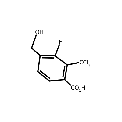 O=C(O)c1ccc(CO)c(F)c1C(Cl)(Cl)Cl